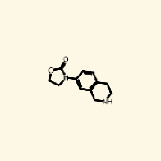 O=C1OCCN1c1ccc2c(c1)CNCC2